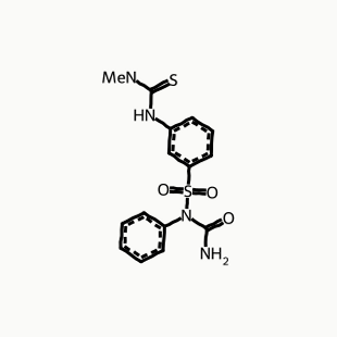 CNC(=S)Nc1cccc(S(=O)(=O)N(C(N)=O)c2ccccc2)c1